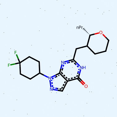 CCC[C@@H]1OCCCC1Cc1nc2c(cnn2C2CCC(F)(F)CC2)c(=O)[nH]1